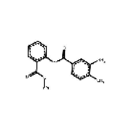 CCCOC(=O)c1ccccc1OC(=O)c1ccc(C)c(N)c1